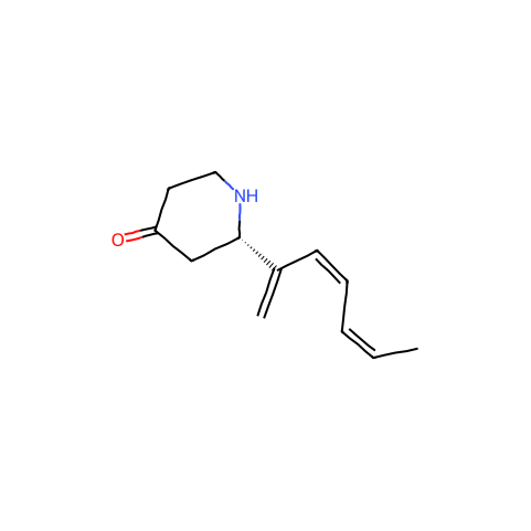 C=C(/C=C\C=C/C)[C@@H]1CC(=O)CCN1